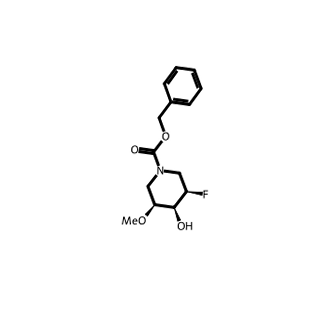 CO[C@H]1CN(C(=O)OCc2ccccc2)C[C@@H](F)[C@H]1O